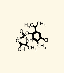 Cc1cc(OP(=O)(Cl)N[C@@H](C)C(=O)O)c(C(C)C)cc1Cl